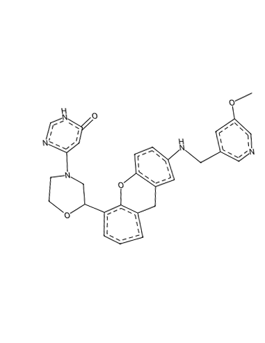 COc1cncc(CNc2ccc3c(c2)Cc2cccc(C4CN(c5cc(=O)[nH]cn5)CCO4)c2O3)c1